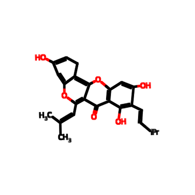 CC(C)=CC1=c2c(oc3cc(O)c(C=CC(C)C)c(O)c3c2=O)=C2CC=C(O)C=C2O1